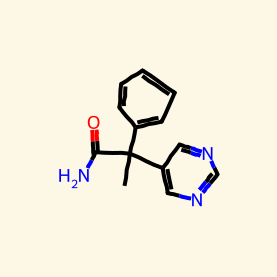 CC(C(N)=O)(c1ccccc1)c1cncnc1